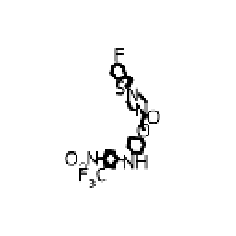 O=C(CO[C@H]1CC[C@H](Nc2ccc([N+](=O)[O-])c(C(F)(F)F)c2)CC1)N1CCN(c2cc3cc(F)ccc3s2)CC1